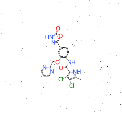 Cc1[nH]c(C(=O)Nc2ccc(-c3n[nH]c(=O)o3)cc2OCc2ncccn2)c(Cl)c1Cl